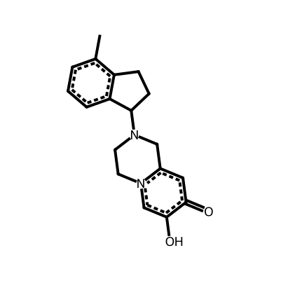 Cc1cccc2c1CCC2N1CCn2cc(O)c(=O)cc2C1